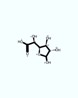 O=C(O)[C@@H](O)[C@@H]1OC(O)[C@@H](O)[C@@H]1O